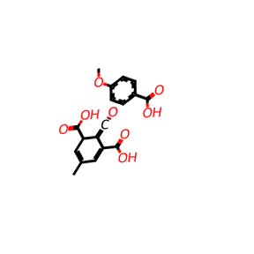 CC1=CC(C(=O)O)C(=C=O)C(C(=O)O)=C1.COc1ccc(C(=O)O)cc1